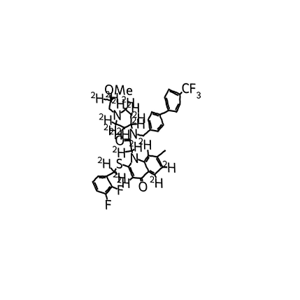 [2H]c1c(C)c([2H])c2c(c1[2H])c(=O)c([2H])c(SC([2H])([2H])c1cccc(F)c1F)n2C([2H])([2H])C(=O)N(Cc1ccc(-c2ccc(C(F)(F)F)cc2)cc1)C1([2H])C([2H])([2H])C([2H])([2H])N(CC([2H])([2H])OC)C([2H])([2H])C1([2H])[2H]